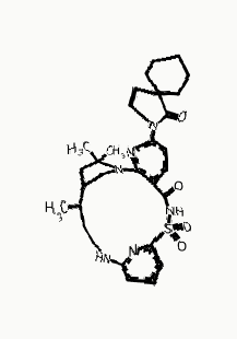 CC1CCNc2cccc(n2)S(=O)(=O)NC(=O)c2ccc(N3CCC4(CCCCC4)C3=O)nc2N2CC1CC2(C)C